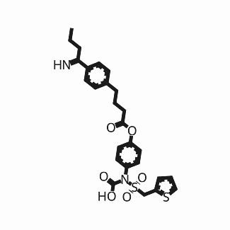 CCCC(=N)c1ccc(CCCC(=O)Oc2ccc(N(C(=O)O)S(=O)(=O)Cc3cccs3)cc2)cc1